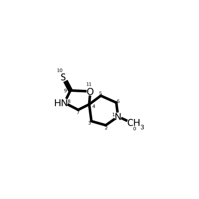 CN1CCC2(CC1)CNC(=S)O2